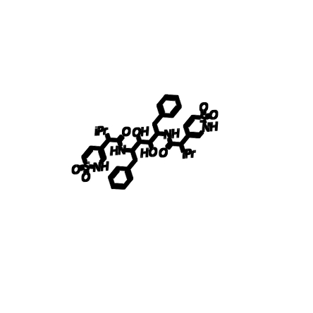 CC(C)C(C(=O)NC(Cc1ccccc1)C(O)C(O)C(Cc1ccccc1)NC(=O)C(C1=CNS(=O)(=O)C=C1)C(C)C)C1=CNS(=O)(=O)C=C1